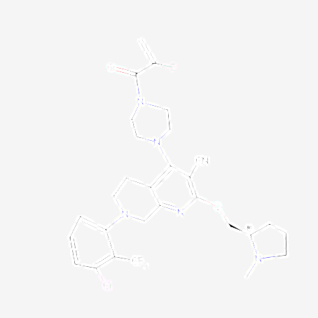 C=C(F)C(=O)N1CCN(c2c(C#N)c(OC[C@H]3CCCN3C)nc3c2CCN(c2cccc(Cl)c2C(F)(F)F)C3)CC1